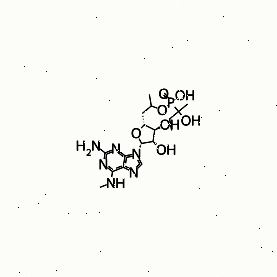 CCC(C)(O)P(=O)(O)OC(C)C[C@H]1O[C@@H](n2cnc3c(NC)nc(N)nc32)[C@H](O)[C@@H]1O